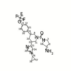 NC1CCN(C(=O)N2CC(c3ccc(OC(F)(F)F)cc3)CC(c3cn(C4CC4)cn3)C2)C1